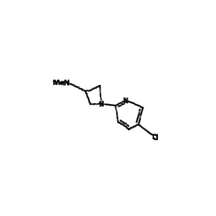 CNC1CN(c2ccc(Cl)cn2)C1